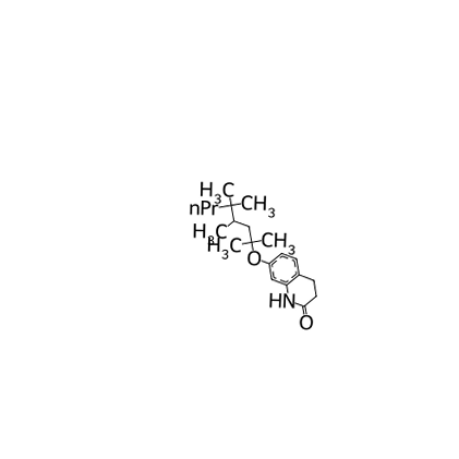 CCCC(C)(C)C(C)CC(C)(C)Oc1ccc2c(c1)NC(=O)CC2